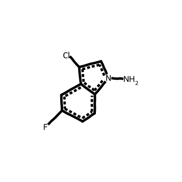 Nn1cc(Cl)c2cc(F)ccc21